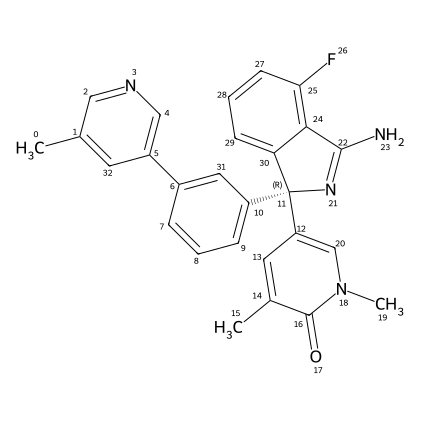 Cc1cncc(-c2cccc([C@@]3(c4cc(C)c(=O)n(C)c4)N=C(N)c4c(F)cccc43)c2)c1